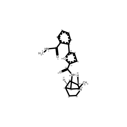 CNC(=O)c1ccccc1-c1ccc(C(=O)N[C@@H]2C3CCN(CC3)[C@H]2C)o1